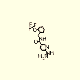 NNc1ccc(C(=O)NCc2ccccc2OC(F)(F)F)cn1